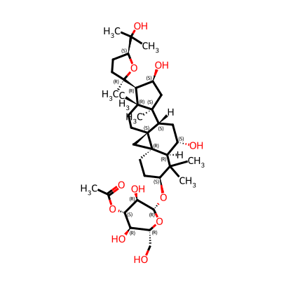 CC(=O)O[C@@H]1[C@@H](O)[C@H](O[C@H]2CC[C@]34C[C@]35CC[C@]3(C)[C@@H]([C@@]6(C)CC[C@@H](C(C)(C)O)O6)[C@@H](O)C[C@@]3(C)[C@@H]5C[C@H](O)[C@H]4C2(C)C)O[C@H](CO)[C@H]1O